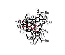 CC(C)(C)CC(C)(C)c1cc(C(C)(C)CC(C)(C)C)c(C(C)(C)CC(C)(C)C)cc1[SiH](O[SiH](c1cc(C(C)(C)CC(C)(C)C)c(C(C)(C)CC(C)(C)C)cc1C(C)(C)CC(C)(C)C)c1cc(C(C)(C)CC(C)(C)C)c(C(C)(C)CC(C)(C)C)cc1C(C)(C)CC(C)(C)C)c1cc(C(C)(C)CC(C)(C)C)c(C(C)(C)CC(C)(C)C)cc1C(C)(C)CC(C)(C)C